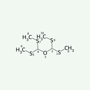 CSC(OC(SC)SC)SC